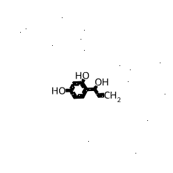 C=CC(O)c1ccc(O)cc1O